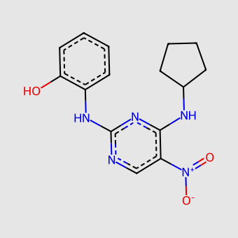 O=[N+]([O-])c1cnc(Nc2ccccc2O)nc1NC1CCCC1